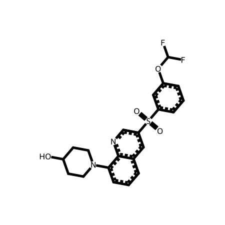 O=S(=O)(c1cccc(OC(F)F)c1)c1cnc2c(N3CCC(O)CC3)cccc2c1